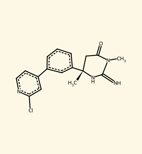 CN1C(=N)N[C@](C)(c2cccc(-c3ccnc(Cl)c3)c2)CC1=O